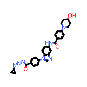 O=C(N=[N+]=NC1CC1)c1ccc(-n2cnc3cc(NC(=O)c4ccc(N5CCC(O)CC5)cc4)ccc32)cc1